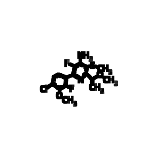 C=C(OC)c1nc(-c2ccc(Cl)c(OC)c2F)c(F)c(N)c1SC